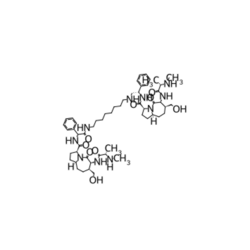 CN[C@@H](C)C(=O)N[C@@H]1C(=O)N2[C@@H](CC[C@@H]1CO)CC[C@H]2C(=O)N[C@H](C(=O)NCCCCCCCCNC[C@@H](NC(=O)[C@@H]1CC[C@@H]2CC[C@H](CO)[C@H](NC(=O)[C@H](C)NC)C(=O)N21)c1ccccc1)c1ccccc1